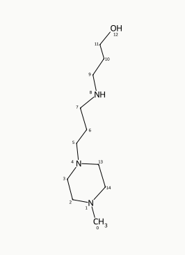 CN1CCN(CCCNCCCO)CC1